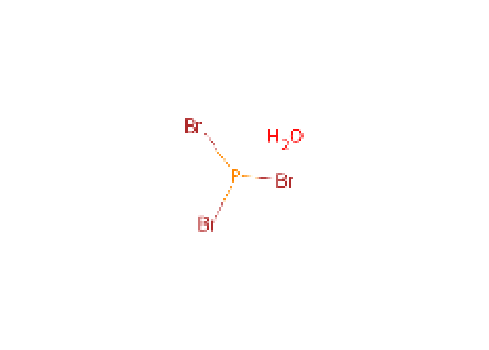 BrP(Br)Br.O